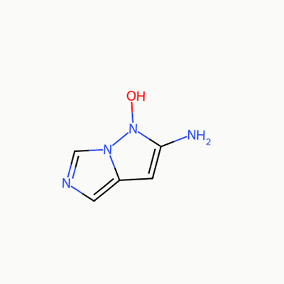 Nc1cc2cncn2n1O